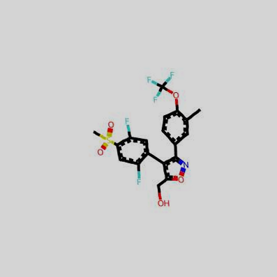 Cc1cc(-c2noc(CO)c2-c2cc(F)c(S(C)(=O)=O)cc2F)ccc1OC(F)(F)F